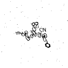 CC(C)(C)OC(=O)N1CCC[C@H]1COc1nc2c(c(N3CCN(C(=O)OCc4ccccc4)[C@@H](CC#N)C3)n1)CCN(c1cccc3cccc(Cl)c13)C2